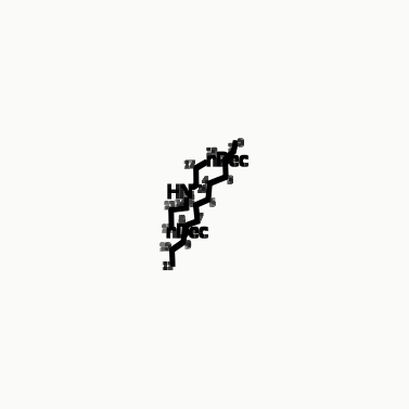 CCCCCCCCCCCC.CCCCCCCCCCCCNCCCCCCCCCCCC